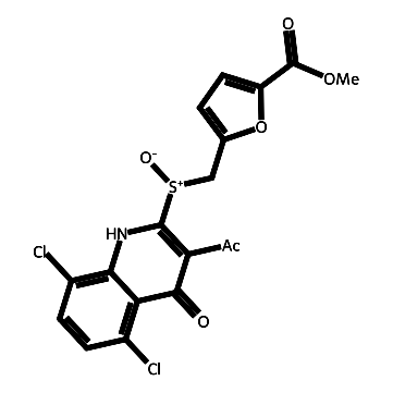 COC(=O)c1ccc(C[S+]([O-])c2[nH]c3c(Cl)ccc(Cl)c3c(=O)c2C(C)=O)o1